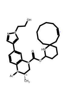 CC(=O)N1c2ccc(-c3cnn(CCO)c3)cc2N(C(=O)OC2CCCC3(C/C=C\CCCCCC3)N2)C[C@@H]1C